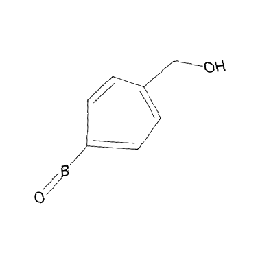 O=Bc1ccc(CO)cc1